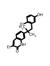 CCc1ccc(O)cc1CC(C)(C)c1ccc2cc(CC)c(=O)[nH]c2c1